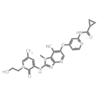 Cn1c(Nc2cc(C(F)(F)F)cn(CCO)c2=O)nc2ncc(Oc3ccnc(NC(=O)C4CC4)c3)c(C#N)c21